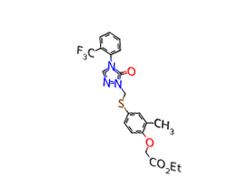 CCOC(=O)COc1ccc(SCn2ncn(-c3ccccc3C(F)(F)F)c2=O)cc1C